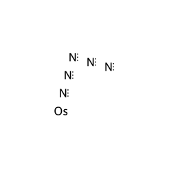 [N].[N].[N].[N].[N].[Os]